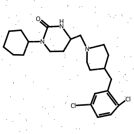 O=C1NC(CN2CCC(Cc3cc(Cl)ccc3Cl)CC2)CCN1C1CCCCC1